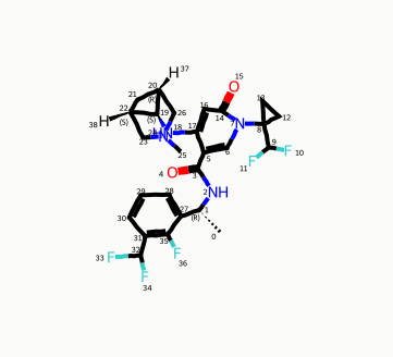 C[C@@H](NC(=O)c1cn(C2(C(F)F)CC2)c(=O)cc1N[C@@H]1[C@@H]2C[C@H]1CN(C)C2)c1cccc(C(F)F)c1F